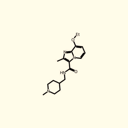 CCOc1cccn2c(C(=O)NCC3CCN(C)CC3)c(C)nc12